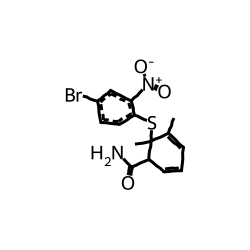 CC1=CC=CC(C(N)=O)C1(C)Sc1ccc(Br)cc1[N+](=O)[O-]